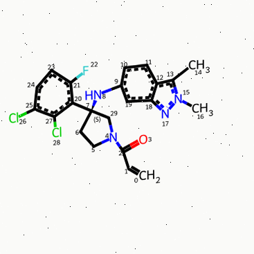 C=CC(=O)N1CC[C@](Nc2ccc3c(C)n(C)nc3c2)(c2c(F)ccc(Cl)c2Cl)C1